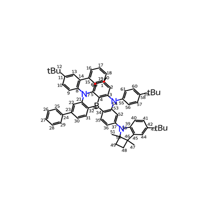 Cc1cc2c3c(c1)N(c1ccc(C(C)(C)C)cc1-c1ccccc1)c1cc(-c4ccccc4)ccc1B3c1ccc(N3c4ccc(C(C)(C)C)cc4C4(C)CCC34C)cc1N2c1ccc(C(C)(C)C)cc1